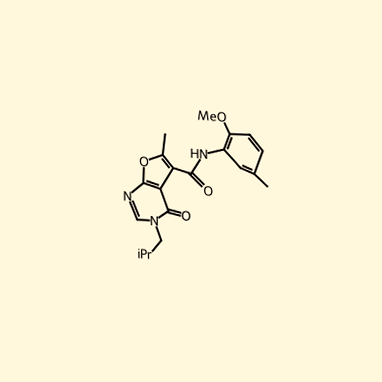 COc1ccc(C)cc1NC(=O)c1c(C)oc2ncn(CC(C)C)c(=O)c12